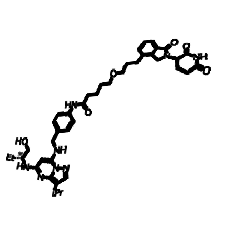 CC[C@H](CO)Nc1cc(NCc2ccc(NC(=O)CCCCOCCCc3cccc4c3CN(C3CCC(=O)NC3=O)C4=O)cc2)n2ncc(C(C)C)c2n1